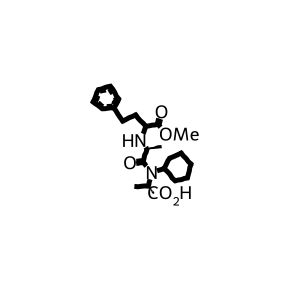 COC(=O)C(CCc1ccccc1)N[C@@H](C)C(=O)N(C1CCCCC1)[C@@H](C)C(=O)O